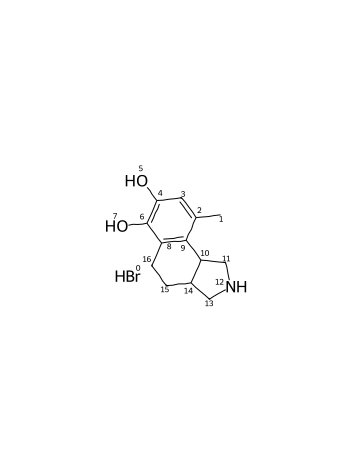 Br.Cc1cc(O)c(O)c2c1C1CNCC1CC2